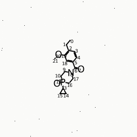 CCc1ccc(C(=O)N2CCP(=O)(C3CC3)CC2)cc1OC